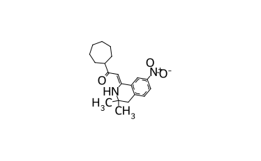 CC1(C)Cc2ccc([N+](=O)[O-])cc2C(=CC(=O)C2CCCCCC2)N1